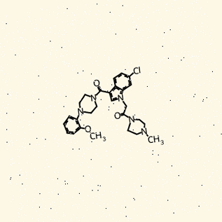 COc1ccccc1N1CCN(C(=O)c2cn(CC(=O)N3CCN(C)CC3)c3cc(Cl)ccc23)CC1